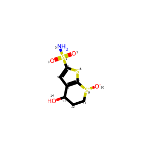 NS(=O)(=O)c1cc2c(s1)[S+]([O-])CCC2O